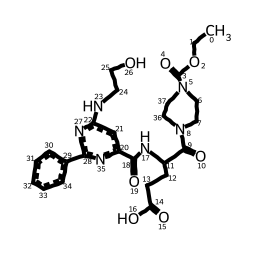 CCOC(=O)N1CCN(C(=O)C(CCC(=O)O)NC(=O)c2cc(NCCO)nc(-c3ccccc3)n2)CC1